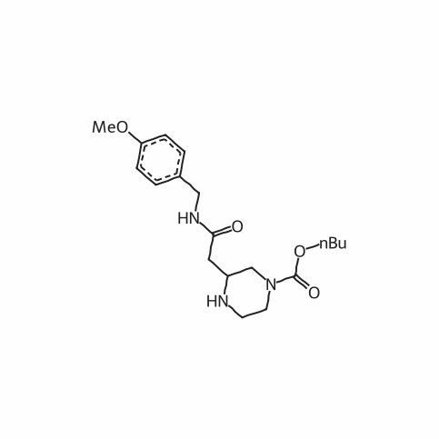 CCCCOC(=O)N1CCNC(CC(=O)NCc2ccc(OC)cc2)C1